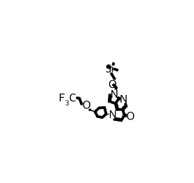 C[Si](C)(C)CCOCn1ccc2c1ncc1c(=O)ccn([C@H]3CC[C@H](COCCC(F)(F)F)CC3)c12